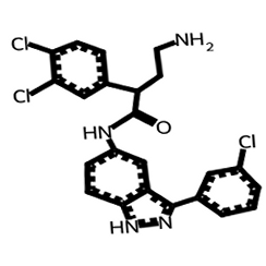 NCCC(C(=O)Nc1ccc2[nH]nc(-c3cccc(Cl)c3)c2c1)c1ccc(Cl)c(Cl)c1